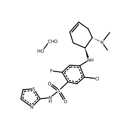 CN(C)[C@H]1CC=CC[C@@H]1Nc1cc(F)c(S(=O)(=O)Nc2nccs2)cc1Cl.O=CO